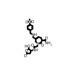 CS(=O)(=O)c1ccc(CNCC2=CCC(C(N)=O)C(=O)N(CC(=O)NC3CC(=O)OC3O)C2)cc1